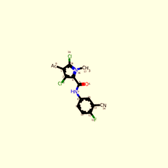 CC(=O)c1c(Cl)c(C(=O)Nc2ccc(F)c(C#N)c2)n(C)c1Cl